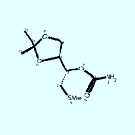 CSC[C@@H](OC(N)=O)[C@@H]1COC(C)(C)O1